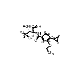 CC(=O)NC(=N)[C@@](C)(CS(C)(=O)=O)NC(=O)c1ccc(C2CC2)c(OCC(F)(F)F)c1